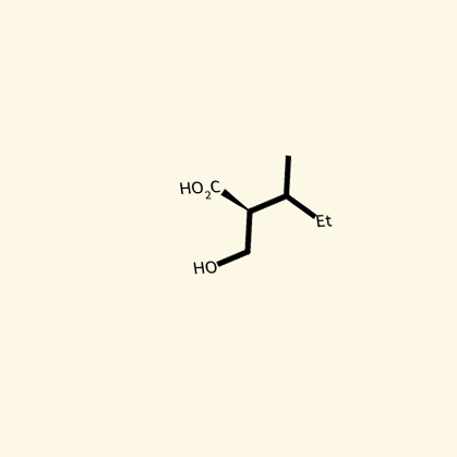 CCC(C)[C@@H](CO)C(=O)O